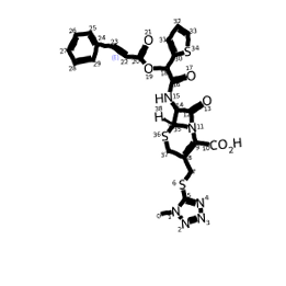 Cn1nnnc1SCC1=C(C(=O)O)N2C(=O)C(NC(=O)C(OC(=O)/C=C/c3ccccc3)c3cccs3)[C@H]2SC1